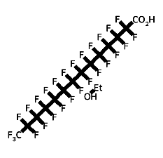 CCO.O=C(O)C(F)(F)C(F)(F)C(F)(F)C(F)(F)C(F)(F)C(F)(F)C(F)(F)C(F)(F)C(F)(F)C(F)(F)C(F)(F)C(F)(F)C(F)(F)F